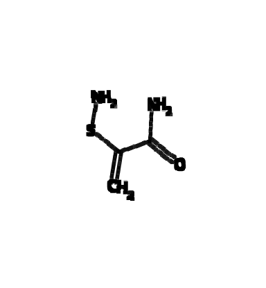 C=C(SN)C(N)=O